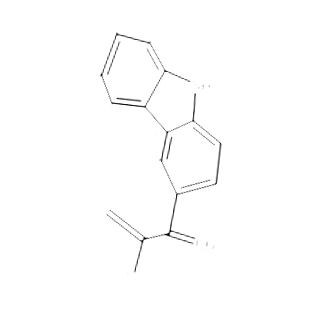 C=C(C)C(=O)c1ccc2[se]c3ccccc3c2c1